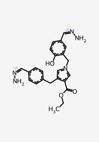 CCOC(=O)c1cn(Cc2cc(/C=N\N)ccc2O)cc1Cc1ccc(/C=N\N)cc1